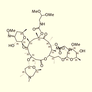 CON=C1C[C@@H](C)O[C@@H](O[C@@H]2[C@@H](C)[C@H](O[C@H]3C[C@@H](C)N(C)C[C@H](C)O3)[C@@H](C)C(=O)OC([C@@H](C)CO[C@@H]3O[C@H](C)[C@@H](O)[C@@H](OC)[C@H]3OC)[C@H](C)[C@@H](OC(=O)CC(C)C)[C@@H](C)C(=O)[C@@](C)(OC(=O)NCC(OC)OC)C[C@@H]2C)[C@@H]1O